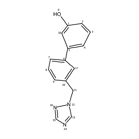 Oc1cccc(-c2cccc(Cn3cncn3)c2)c1